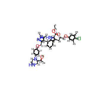 CCOC(=O)c1[nH]c2c(-c3c(COc4ccc(N5CCNCC5C(C)=O)cc4)nn(C)c3C)cccc2c1CCCOc1cc(C)c(Cl)c(C)c1